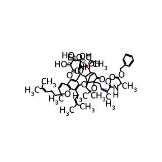 CCOC(=O)C(C)NC1C2CC3C(C)(C)OC(C/C=C(/C)C(=O)NC(C)C(=O)OCc4ccccc4)(C2=O)C32Oc3c(CC=C(C)C)c4c(c(O[C@@H]5O[C@H](CO)[C@@H](O)[C@H](O)[C@H]5O)c3C(=O)C12)C=CC(C)(CCC=C(C)C)O4